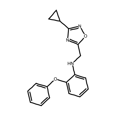 c1ccc(Oc2ccccc2NCc2nc(C3CC3)no2)cc1